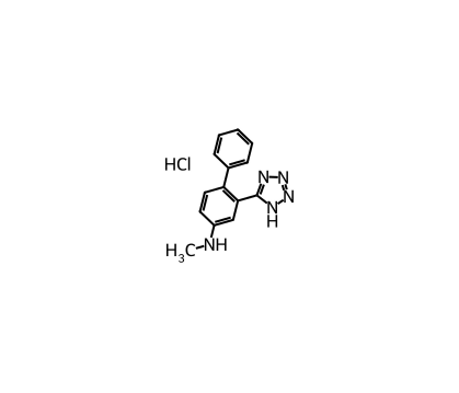 CNc1ccc(-c2ccccc2)c(-c2nnn[nH]2)c1.Cl